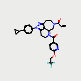 C=CC(=O)N1CCc2nn(-c3ccc(C4CC4)cc3)c3c2[C@H](C1)N(C(=O)c1ccc(OCC(F)(F)F)nc1)CC3